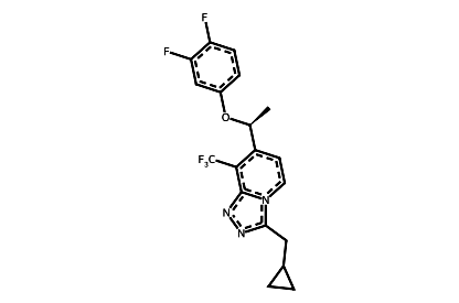 C[C@H](Oc1ccc(F)c(F)c1)c1ccn2c(CC3CC3)nnc2c1C(F)(F)F